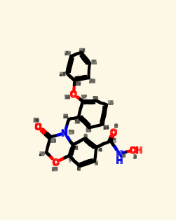 O=C(NO)c1ccc2c(c1)N(Cc1ccccc1Oc1ccccc1)C(=O)CO2